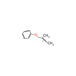 C/C=C(\C)COc1c[c]ccc1